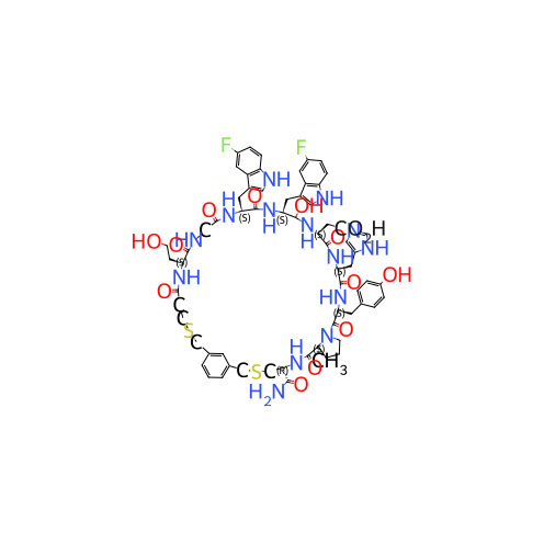 C[C@@]12CCCN1C(=O)[C@H](Cc1ccc(O)cc1)NC(=O)[C@H](Cc1cnc[nH]1)NC(=O)[C@H](CC(=O)O)NC(O)[C@H](Cc1c[nH]c3ccc(F)cc13)NC(=O)[C@H](Cc1c[nH]c3ccc(F)cc13)NC(=O)CNC(=O)[C@H](CCO)NC(=O)CCSCc1cccc(c1)CSC[C@@H](C(N)=O)NC2=O